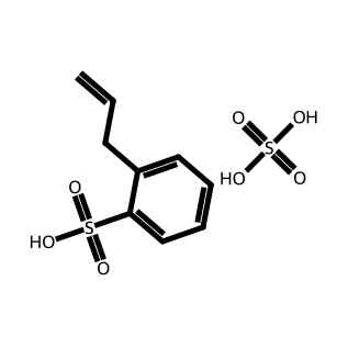 C=CCc1ccccc1S(=O)(=O)O.O=S(=O)(O)O